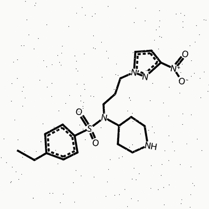 CCc1ccc(S(=O)(=O)N(CCCn2ccc([N+](=O)[O-])n2)C2CCNCC2)cc1